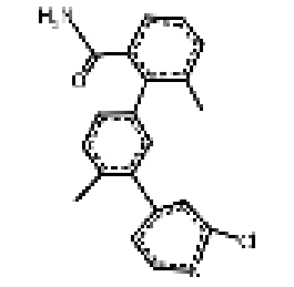 Cc1ccc(-c2c(C)cccc2C(N)=O)cc1-c1ccnc(Cl)c1